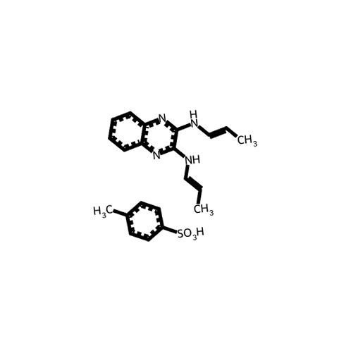 CC=CNc1nc2ccccc2nc1NC=CC.Cc1ccc(S(=O)(=O)O)cc1